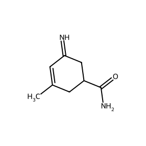 CC1=CC(=N)CC(C(N)=O)C1